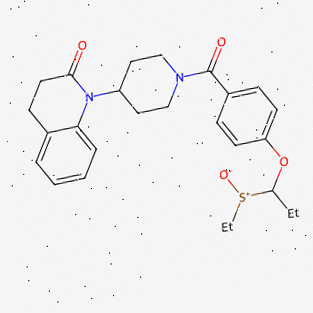 CCC(Oc1ccc(C(=O)N2CCC(N3C(=O)CCc4ccccc43)CC2)cc1)[S+]([O-])CC